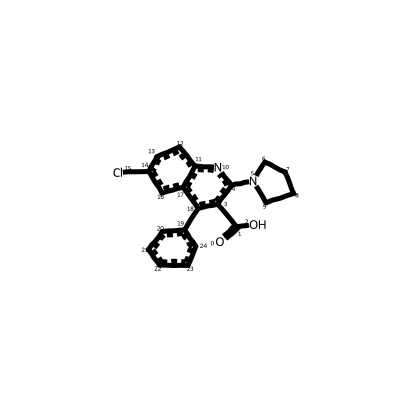 O=C(O)c1c(N2CCCC2)nc2ccc(Cl)cc2c1-c1ccccc1